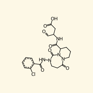 O=CC(CC(=O)O)NC(=O)C1CCCN2C(=O)CCN(NC(=O)c3ccccc3Cl)C(=O)N12